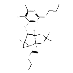 CCCSc1nc(Cl)c(N)c(N[C@H]2[C@@H]3OC(C)(C)O[C@@H]3[C@@]3(C(=O)OCC)C[C@H]23)n1